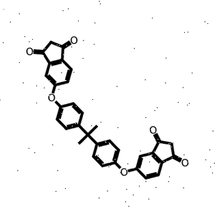 CC(C)(c1ccc(Oc2ccc3c(c2)C(=O)CC3=O)cc1)c1ccc(Oc2ccc3c(c2)C(=O)CC3=O)cc1